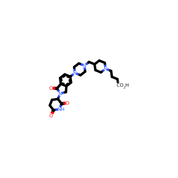 O=C(O)CCCN1CCC(CN2CCN(c3ccc4c(c3)CN(C3CCC(=O)NC3=O)C4=O)CC2)CC1